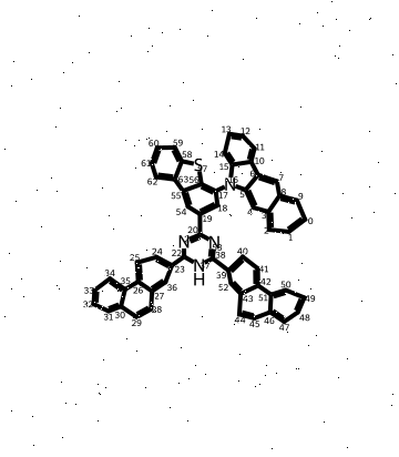 c1ccc2cc3c(cc2c1)c1ccccc1n3-c1cc(C2=NC(c3ccc4c(ccc5ccccc54)c3)NC(c3ccc4c(ccc5ccccc54)c3)=N2)cc2c1sc1ccccc12